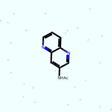 CC(=O)Nc1cnc2cccnc2c1